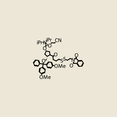 COc1ccc(C(OC[C@@H]2C[C@@H](OP(OCCC#N)N(C(C)C)C(C)C)CC2C(=O)CCCSSCCN2C(=O)c3ccccc3C2=O)(c2ccccc2)c2ccc(OC)cc2)cc1